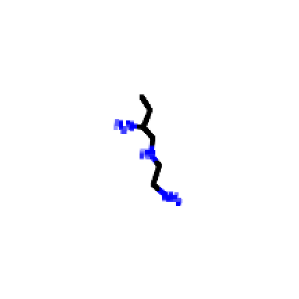 CCC(N)CNCCN